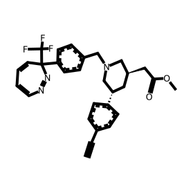 C#Cc1ccc([C@H]2C[C@H](CC(=O)OC)CN(Cc3ccc(C4(C(F)(F)F)C=CC=CN=N4)cc3)C2)cc1